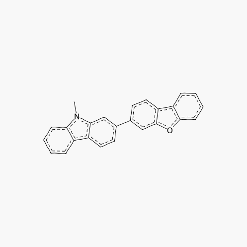 Cn1c2ccccc2c2ccc(-c3ccc4c(c3)oc3ccccc34)cc21